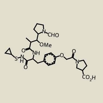 COC(C(C)C(=O)NC(Cc1ccc(OCC(=O)N2CCC(C(=O)O)C2)cc1)C(=O)NSC1CC1)C1CCCN1C=O